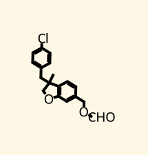 CC1(Cc2ccc(Cl)cc2)COc2cc(COC=O)ccc21